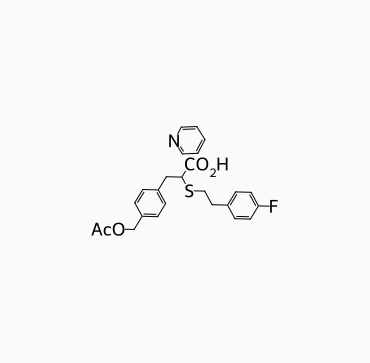 CC(=O)OCc1ccc(CC(SCCc2ccc(F)cc2)C(=O)O)cc1.c1ccncc1